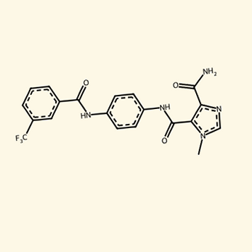 Cn1cnc(C(N)=O)c1C(=O)Nc1ccc(NC(=O)c2cccc(C(F)(F)F)c2)cc1